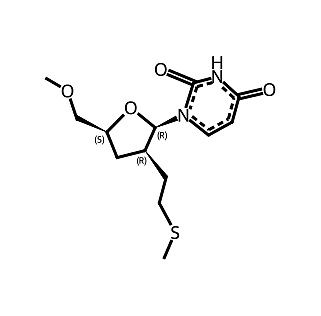 COC[C@@H]1C[C@H](CCSC)[C@H](n2ccc(=O)[nH]c2=O)O1